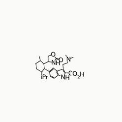 CC(C)C1CCC(C)C(C2COC(=O)N2)C1c1ccc2[nH]c(C(=O)O)c(CCN(C)C)c2c1